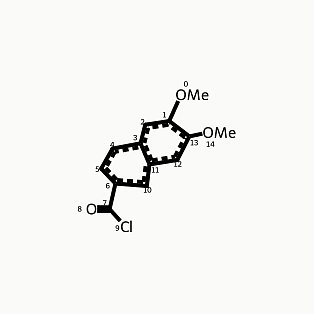 COc1cc2ccc(C(=O)Cl)cc2cc1OC